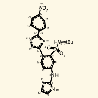 CC(C)(C)NS(=O)(=O)c1cc(Nc2nccs2)ccc1-c1cnc(-c2ccc([N+](=O)[O-])cc2)s1